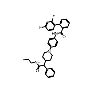 CCCNC(=O)C(c1ccccc1)C1CCN(c2ccc(NC(=O)c3ccccc3-c3ccc(F)cc3F)cc2)CC1